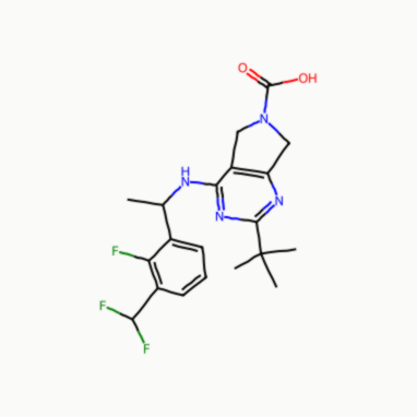 CC(Nc1nc(C(C)(C)C)nc2c1CN(C(=O)O)C2)c1cccc(C(F)F)c1F